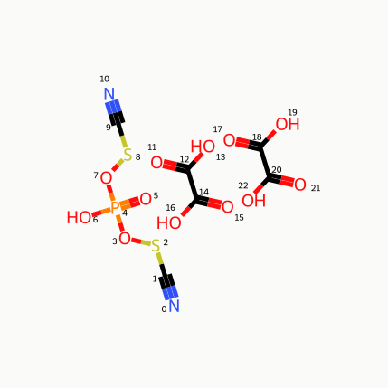 N#CSOP(=O)(O)OSC#N.O=C(O)C(=O)O.O=C(O)C(=O)O